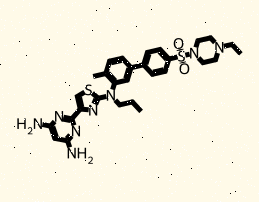 CCCN(c1nc(-c2nc(N)cc(N)n2)cs1)c1cc(-c2ccc(S(=O)(=O)N3CCN(CC)CC3)cc2)ccc1C